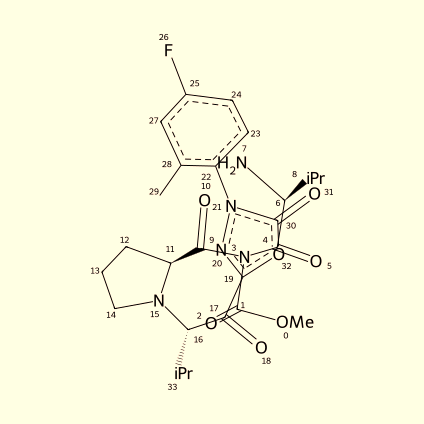 COC(=O)N(C(=O)[C@@H](N)C(C)C)C(=O)[C@@H]1CCCN1[C@H](C(=O)c1nn(-c2ccc(F)cc2C)c(=O)o1)C(C)C